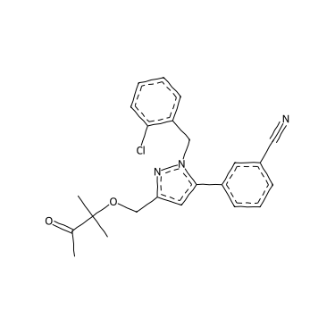 CC(=O)C(C)(C)OCc1cc(-c2cccc(C#N)c2)n(Cc2ccccc2Cl)n1